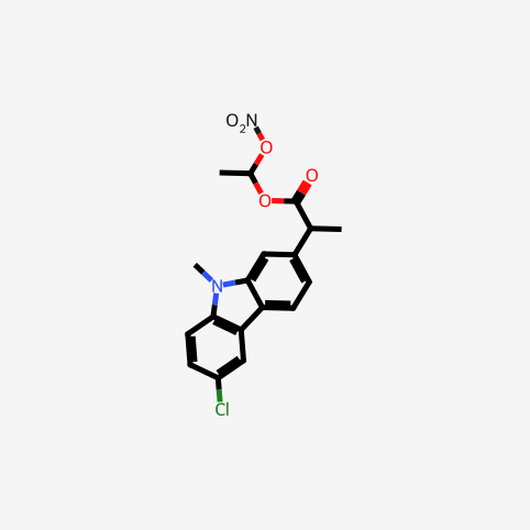 CC(OC(=O)C(C)c1ccc2c3cc(Cl)ccc3n(C)c2c1)O[N+](=O)[O-]